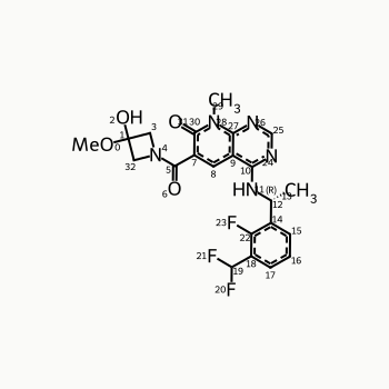 COC1(O)CN(C(=O)c2cc3c(N[C@H](C)c4cccc(C(F)F)c4F)ncnc3n(C)c2=O)C1